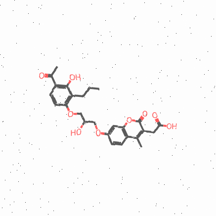 CCCc1c(OCC(O)COc2ccc3c(C)c(CC(=O)O)c(=O)oc3c2)ccc(C(C)=O)c1O